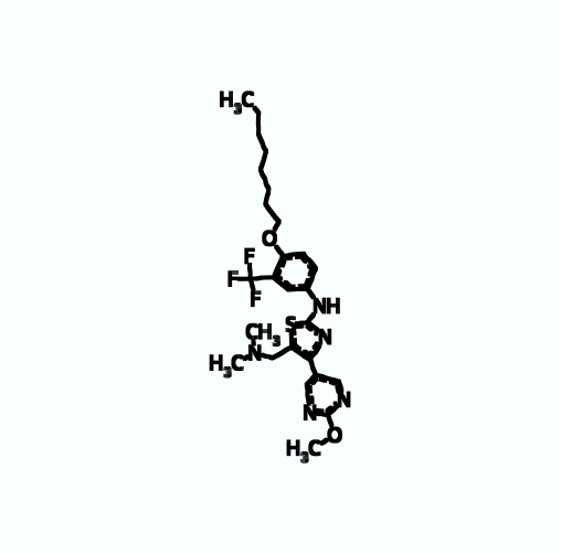 CCCCCCCCOc1ccc(Nc2nc(-c3cnc(OC)nc3)c(CN(C)C)s2)cc1C(F)(F)F